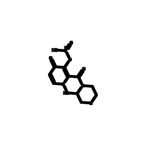 O=C1c2c(O[PH](=O)O)c(=O)ccn2NC2COCCN12